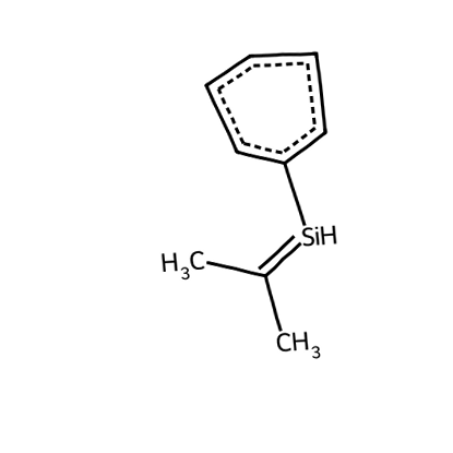 CC(C)=[SiH]c1ccccc1